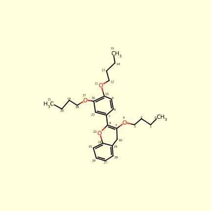 CCCCOC1=C(c2ccc(OCCCC)c(OCCCC)c2)Oc2ccccc2C1